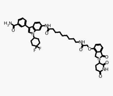 NC(=O)c1cccc(-c2cn(C3CCC(F)(F)CC3)c3cc(NC(=O)CCCCCCCCNC(=O)COc4cccc5c4CN(C4CCC(=O)NC4=O)C5=O)ccc23)c1